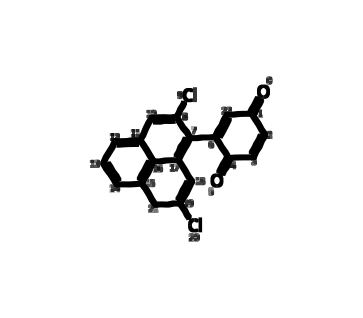 O=C1C=CC(=O)C(c2c(Cl)cc3cccc4c3c2C=C(Cl)C4)=C1